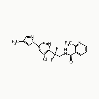 O=C(NCC(F)(F)c1ncc(-n2cc(C(F)(F)F)cn2)cc1Cl)c1cccnc1C(F)(F)F